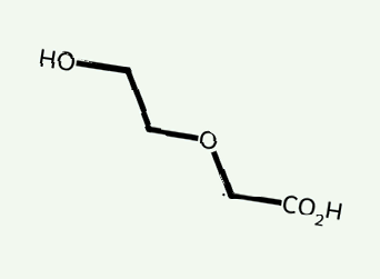 O=C(O)[CH]OCCO